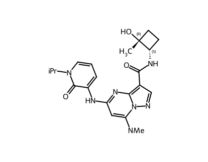 CNc1cc(Nc2cccn(C(C)C)c2=O)nc2c(C(=O)N[C@H]3CC[C@@]3(C)O)cnn12